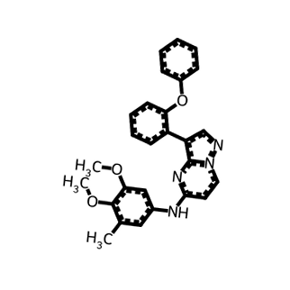 COc1cc(Nc2ccn3ncc(-c4ccccc4Oc4ccccc4)c3n2)cc(C)c1OC